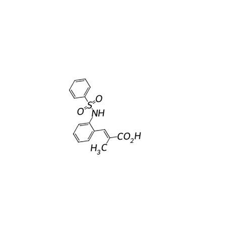 C/C(=C\c1ccccc1NS(=O)(=O)c1ccccc1)C(=O)O